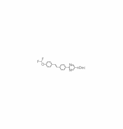 CCCCCCCCCCc1cnc(-c2ccc(C=Cc3ccc(OC(F)F)cc3)cc2)nc1